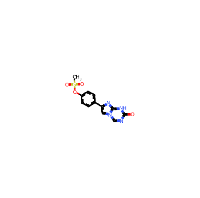 CS(=O)(=O)Oc1ccc(-c2cn3cnc(=O)[nH]c3n2)cc1